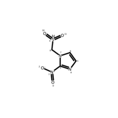 O=[N+]([O-])c1nccn1C[SH](=O)=O